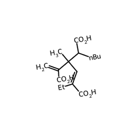 C=C(C(=O)O)C(C)(C=C(CC)C(=O)O)C(CCCC)C(=O)O